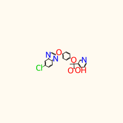 CC(Oc1ccc(Oc2cnc3cc(Cl)ccc3n2)cc1)(C(=O)O)c1cccnc1